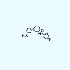 Cc1cccc(N2CCCc3oc(-c4ccc(F)cn4)nc3C2)c1